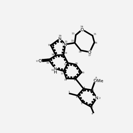 COc1nc(C)cc(C)c1-c1ccc2c(c1)[nH]c(=O)c1cnn(C3COCCOC3)c12